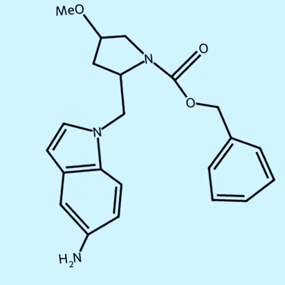 COC1CC(Cn2ccc3cc(N)ccc32)N(C(=O)OCc2ccccc2)C1